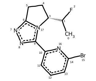 CC(F)[C@H]1CCc2nnc(-c3cccc(Br)n3)n21